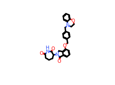 O=C1CCCC(N2Cc3c(OCc4ccc(CN5CCOc6ccccc65)cc4)cccc3C2=O)C(=O)N1